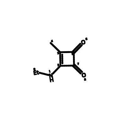 CCNc1c(C)c(=O)c1=O